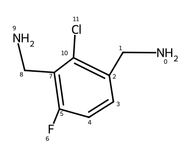 NCc1ccc(F)c(CN)c1Cl